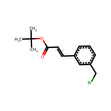 CC(C)(C)OC(=O)/C=C/c1cccc(CBr)c1